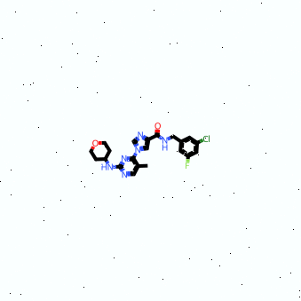 Cc1cnc(NC2CCOCC2)nc1-n1cnc(C(=O)NCc2cc(F)cc(Cl)c2)c1